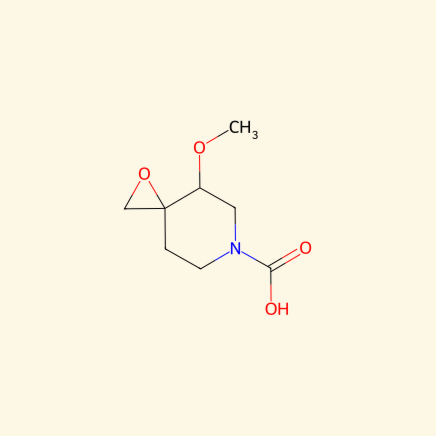 COC1CN(C(=O)O)CCC12CO2